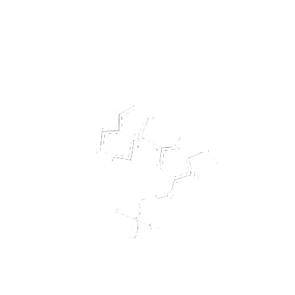 COc1nc(OC)nc(-[n+]2cccc3ccccc32)n1.F[B-](F)(F)F